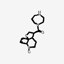 O=C(C1CSC23C=CC=CC2N(Cl)CCC13)N1CCCNCC1